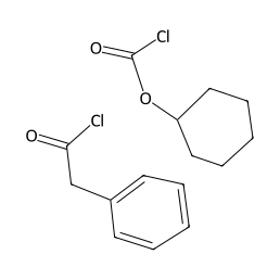 O=C(Cl)Cc1ccccc1.O=C(Cl)OC1CCCCC1